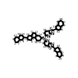 c1ccc2cc(-c3ccc4c(ccc5cc(N(c6ccc7sc(-c8ccc9ccccc9c8)nc7n6)c6ccc7sc(-c8ccc9ccccc9c8)nc7n6)ccc54)c3)ccc2c1